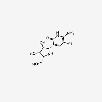 CCc1cc([C@@H]2N[C@H](CO)[C@@H](O)[C@H]2O)c(=O)[nH]c1N